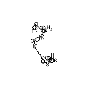 Nc1ncc(-c2cnn(C3CCN(C(=O)C4CN(CCCCCCCOc5cccc6c5C(=O)N([C@@H]5CCC(=O)NC5=O)C6=O)C4)CC3)c2)cc1OCCc1c(Cl)ccc(F)c1Cl